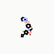 COc1cc(C2CCC2)c(F)cc1-n1c(=O)ccc2cc(S(=O)(=O)Nc3ncccn3)ccc21